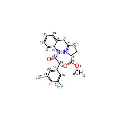 COC(=O)[C@@H]1CSC(Cc2ccccc2NC(=O)Cc2cc(F)cc(F)c2)=N1